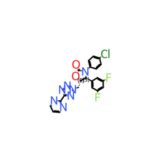 O=C1O[C@@H](Cn2nnc(-c3ncccn3)n2)[C@H](c2cc(F)cc(F)c2)N1c1ccc(Cl)cc1